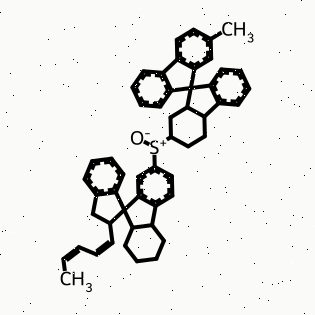 C/C=C\C=C/C1Cc2ccccc2C12c1cc([S+]([O-])C3CCC4c5ccccc5C5(c6ccccc6-c6ccc(C)cc65)C4C3)ccc1C1CCCCC12